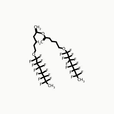 C=C(CCCCOC(F)(F)C(F)(F)C(F)(F)C(F)(F)C(F)(F)C(C)(F)F)OC(=C)CCCCOC(F)(F)C(F)(F)C(F)(F)C(F)(F)C(F)(F)C(C)(F)F